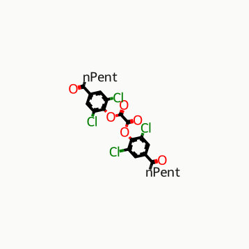 CCCCCC(=O)c1cc(Cl)c(OC(=O)C(=O)Oc2c(Cl)cc(C(=O)CCCCC)cc2Cl)c(Cl)c1